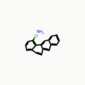 Clc1cccc2ccc3cc4ccccc4cc3c12.N